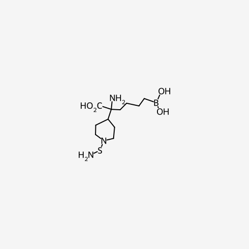 NSN1CCC(C(N)(CCCCB(O)O)C(=O)O)CC1